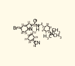 C[N+](C)(C)c1ccc(CNC(=O)c2cc3cc(Br)ccc3n2Cc2cccc(C#N)c2)cc1.[I-]